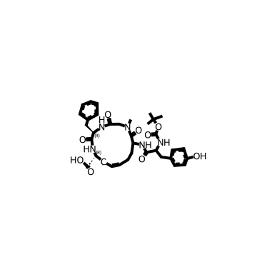 CN1CC(=O)N[C@H](Cc2ccccc2)C(=O)N[C@@H](C(=O)O)CC=CCCC(NC(=O)C(Cc2ccc(O)cc2)NC(=O)OC(C)(C)C)C1=O